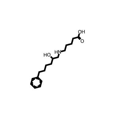 O=C(O)CCCCNCC(O)CCCCc1ccccc1